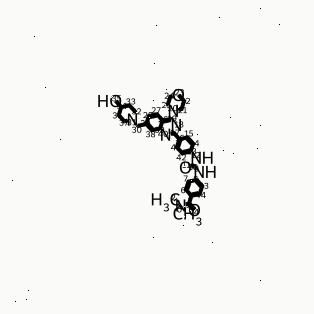 CN(C)C(=O)c1ccc(NC(=O)Nc2ccc(-c3nc(N4CCOCC4)c4ccc(CN5CCC(O)CC5)cc4n3)cc2)cc1